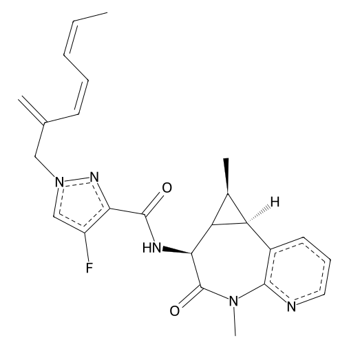 C=C(/C=C\C=C/C)Cn1cc(F)c(C(=O)N[C@@H]2C(=O)N(C)c3ncccc3[C@H]3C2[C@H]3C)n1